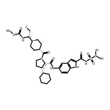 CC(C)N(C(C)C)S(=O)(=O)NC(=O)c1cc2cc(NC(=O)[C@@H]3[C@H](C4CCCCC4)CCN3C(=O)[C@H]3CC[C@H]([C@@H](CF)NC(=O)OC(C)(C)C)CC3)ccc2[nH]1